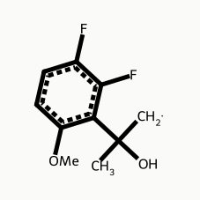 [CH2]C(C)(O)c1c(OC)ccc(F)c1F